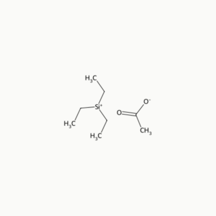 CC(=O)[O-].CC[Si+](CC)CC